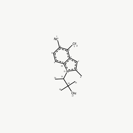 Cc1cc2c(C(F)(F)F)c(C#N)ccc2n1C(C)C(C)(C)O